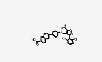 CC(C)c1onc(-c2c(Cl)ccnc2Cl)c1COc1ccc(-c2ccc3nc(C(=O)O)ccc3c2)cc1